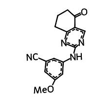 COc1cc(C#N)cc(Nc2ncc3c(n2)CCCC3=O)c1